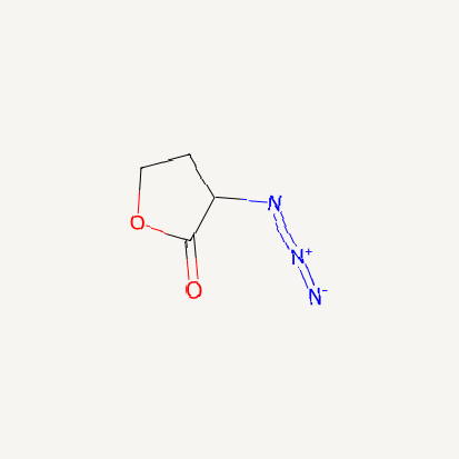 [N-]=[N+]=NC1CCOC1=O